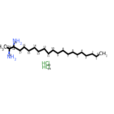 CCCCCCCCCCCCCCCCCCC(N)C(C)N.Cl.Cl